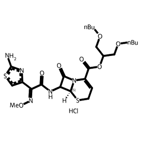 CCCCOCC(COCCCC)OC(=O)C1=CCS[C@H]2C(NC(=O)C(=NOC)c3csc(N)n3)C(=O)N12.Cl